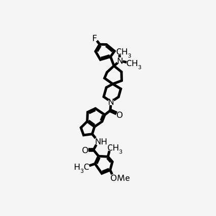 COc1cc(C)c(C(=O)NC2CCc3ccc(C(=O)N4CCC5(CC4)CCC(c4ccc(F)cc4)(N(C)C)CC5)cc32)c(C)c1